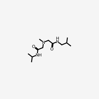 CC(C)CNC(=O)CN(C)CC(=O)NC(C)C